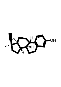 C#C[C@]1(C)CC[C@H]2[C@H]3CCc4cc(O)ccc4[C@H]3CC[C@@]21C